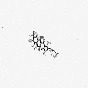 CC(N)CNCc1cc(N(C)C)c2c(c1O)C(=O)C1=C(O)[C@@]3(O)C(=O)C(C(N)=O)=C(O)C(N(C)C)[C@H]3C[C@H]1C2